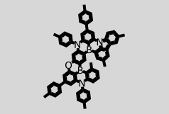 Cc1ccc(-c2cc3c4c(c2)N(c2ccc(C)cc2)c2cccc(C)c2B4c2cc4c(cc2O3)N(c2ccc(C)cc2)c2cc(-c3ccc(C)cc3)cc3c2B4c2cc(C)cc4c5cc(C)ccc5n-3c24)cc1